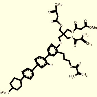 C=C(C)C(=O)OCCCc1cc(-c2ccc(-c3ccc(C4CCC(CCCCC)CC4)cc3)cc2CC)ccc1OCC(COC(=O)CC(=O)OC)(COC(=O)CC(=O)OC)COC(=O)C(=C)C